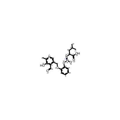 Cc1ncc(COc2ccccc2O/[P+]([O-])=N/C(CC(C)C)C(=O)O)c(C=O)c1O